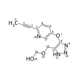 CC#Cc1ccc(Oc2nn[nH]c2COCO)cn1